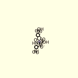 O=C1/C(=N\Nc2ccc([N+](=O)[O-])cc2[N+](=O)[O-])C(S(=O)(=O)O)=Cc2cc(S(=O)(=O)O)ccc21